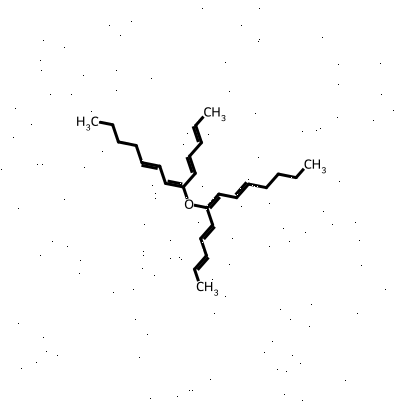 C/C=C/C=C/C(=C\C=C\CCCC)OC(/C=C/C=C/C)=C/C=C/CCCC